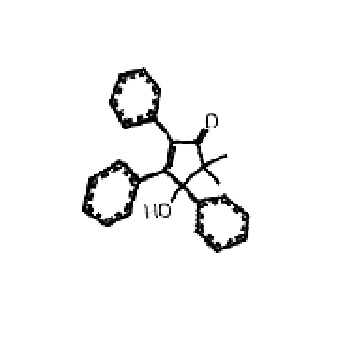 CC1(C)C(=O)C(c2ccccc2)=C(c2ccccc2)C1(O)c1ccccc1